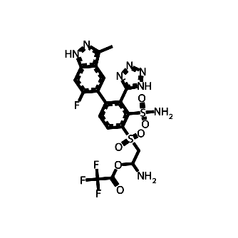 Cc1n[nH]c2cc(F)c(-c3ccc(S(=O)(=O)CC(N)OC(=O)C(F)(F)F)c(S(N)(=O)=O)c3-c3nnn[nH]3)cc12